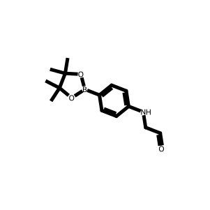 CC1(C)OB(c2ccc(NCC=O)cc2)OC1(C)C